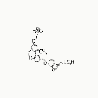 CCS(=O)(=O)CCCOc1cc(C)c2c(c1)CCOc1ccc(COc3ccc4c(c3)OC[C@H]4CCC(=O)O)cc1-2